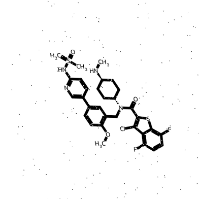 C=S(C)(=O)Nc1ccc(-c2ccc(OC)c(CN(C(=O)c3sc4c(F)ccc(F)c4c3Cl)[C@H]3CC[C@H](NC)CC3)c2)cn1